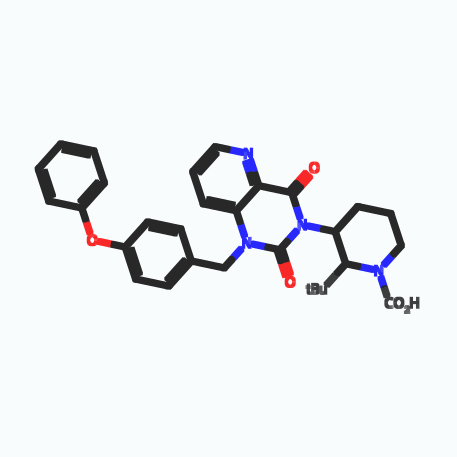 CC(C)(C)C1C(n2c(=O)c3ncccc3n(Cc3ccc(Oc4ccccc4)cc3)c2=O)CCCN1C(=O)O